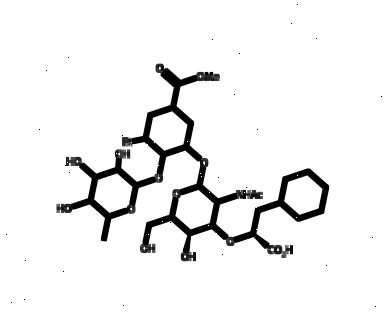 CCC1CC(C(=O)OC)CC(OC2OC(CO)[C@H](O)C(O[C@@H](CC3CCCCC3)C(=O)O)C2NC(C)=O)C1OC1OC(C)C(O)C(O)C1O